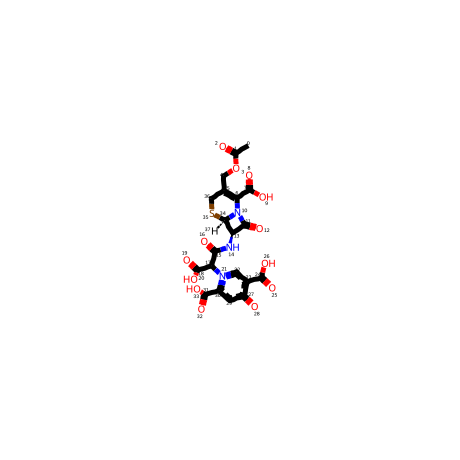 CC(=O)OCC1=C(C(=O)O)N2C(=O)[C@@H](NC(=O)C(C(=O)O)n3cc(C(=O)O)c(=O)cc3C(=O)O)[C@H]2SC1